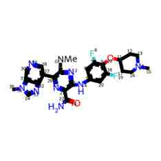 CNc1nc(Nc2cc(F)c(OC3CCN(C)CC3)c(F)c2)c(C(N)=O)nc1-c1cncc2c1ncn2C